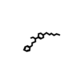 CCCCCCC1CC=C(C(CC)CCCc2ccccc2)CC1